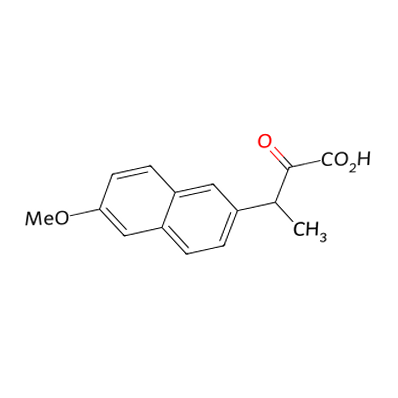 COc1ccc2cc(C(C)C(=O)C(=O)O)ccc2c1